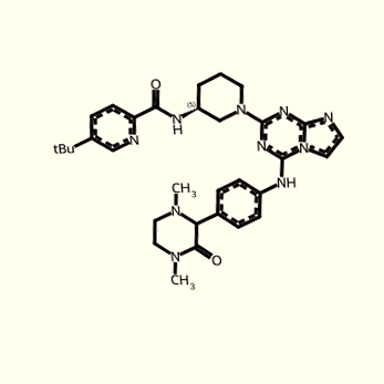 CN1CCN(C)C(c2ccc(Nc3nc(N4CCC[C@H](NC(=O)c5ccc(C(C)(C)C)cn5)C4)nc4nccn34)cc2)C1=O